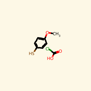 COc1ccc(S)cc1.O=C(O)Cl